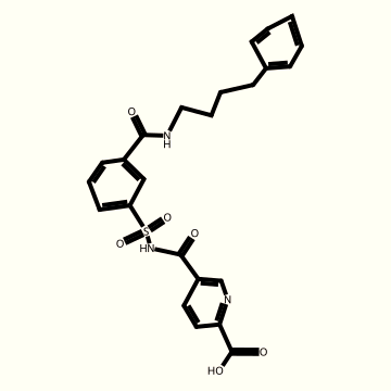 O=C(NCCCCc1ccccc1)c1cccc(S(=O)(=O)NC(=O)c2ccc(C(=O)O)nc2)c1